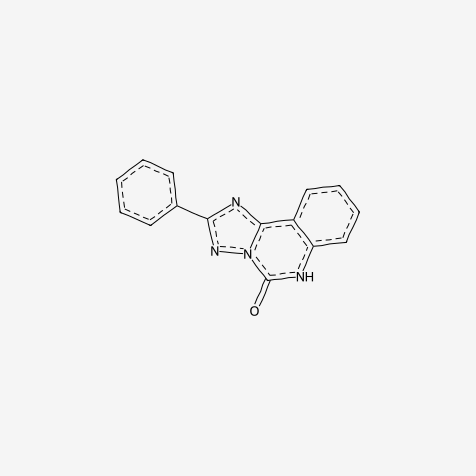 O=c1[nH]c2ccccc2c2nc(-c3ccccc3)nn12